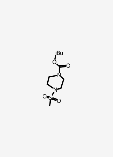 CCC(C)OC(=O)N1CCN(S(C)(=O)=O)CC1